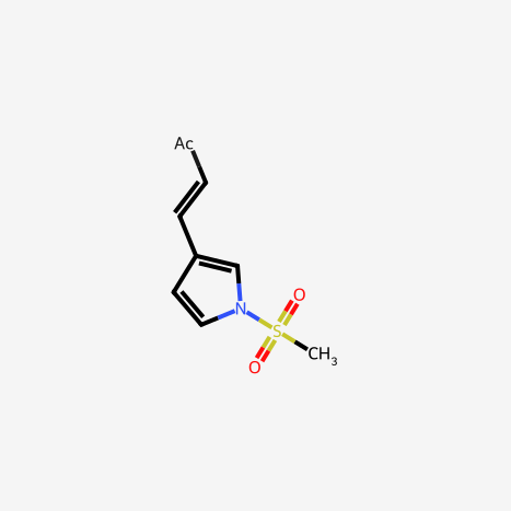 CC(=O)/C=C/c1ccn(S(C)(=O)=O)c1